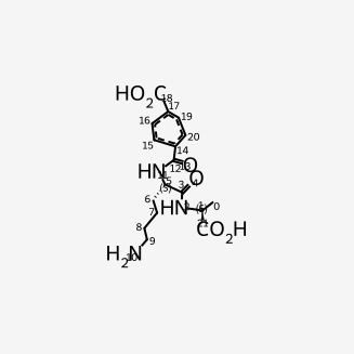 C[C@H](NC(=O)[C@H](CCCCN)NC(=O)c1ccc(C(=O)O)cc1)C(=O)O